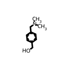 CN(C)Cc1ccc(CO)cc1